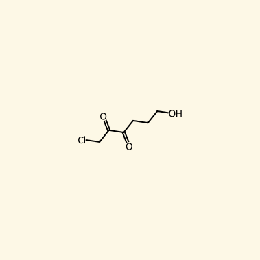 O=C(CCl)C(=O)CCCO